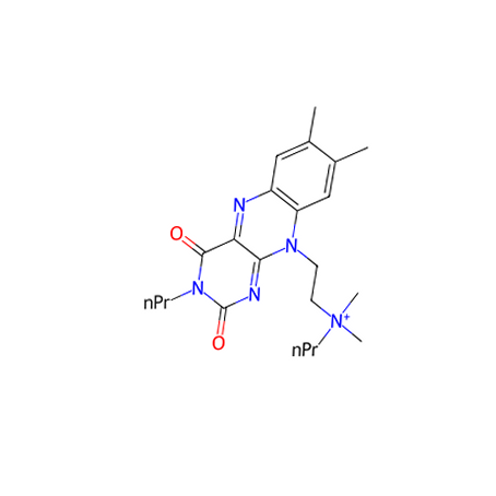 CCCn1c(=O)nc2n(CC[N+](C)(C)CCC)c3cc(C)c(C)cc3nc-2c1=O